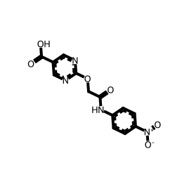 O=C(COc1ncc(C(=O)O)cn1)Nc1ccc([N+](=O)[O-])cc1